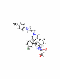 N#Cc1ccc(N2CC(CN3CCC([C@@](C#N)(c4cccc(F)c4)[C@H]4CCC[C@@H]4NC(=O)[C@@H]4CO4)CC3)C2)cc1